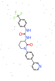 O=C(Nc1ccc(C(F)(F)F)cc1)N[C@@H]1CCCN(c2ccc(-c3cccnc3)cc2)C1=O